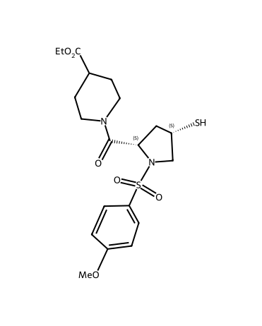 CCOC(=O)C1CCN(C(=O)[C@@H]2C[C@H](S)CN2S(=O)(=O)c2ccc(OC)cc2)CC1